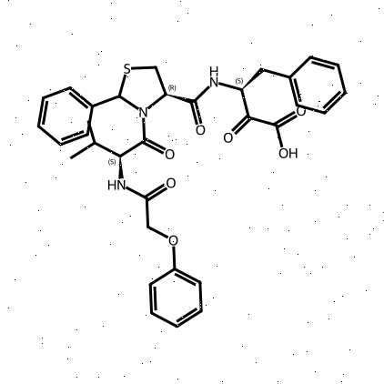 CC(C)[C@H](NC(=O)COc1ccccc1)C(=O)N1C(c2ccccc2)SC[C@H]1C(=O)N[C@@H](Cc1ccccc1)C(=O)C(=O)O